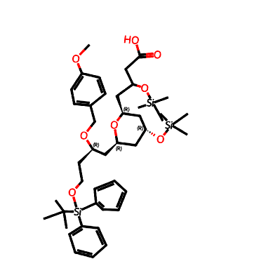 COc1ccc(CO[C@H](CCO[Si](c2ccccc2)(c2ccccc2)C(C)(C)C)C[C@@H]2C[C@@H](O[Si](C)(C)C)C[C@H](CC(CC(=O)O)O[Si](C)(C)C)O2)cc1